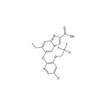 CCc1cc2nc(C(=O)O)cn2cc1Oc1ncc(Cl)cc1OCC(F)(F)F